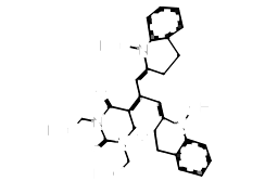 CCN1C(=O)C(=C(C=C2CCc3ccccc3N2C)C=C2CCc3ccccc3N2C)C(=O)N(CC)C1=S